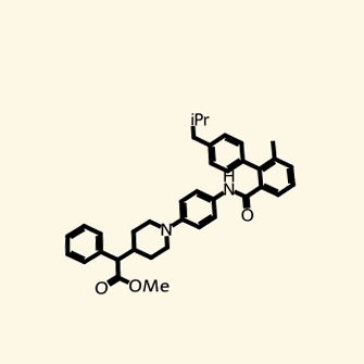 COC(=O)C(c1ccccc1)C1CCN(c2ccc(NC(=O)c3cccc(C)c3-c3ccc(CC(C)C)cc3)cc2)CC1